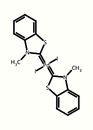 Cn1[c](=[Pd]([I])([I])=[c]2sc3ccccc3n2C)sc2ccccc21